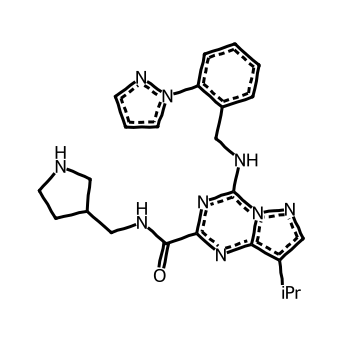 CC(C)c1cnn2c(NCc3ccccc3-n3cccn3)nc(C(=O)NCC3CCNC3)nc12